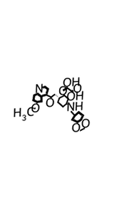 COc1ccc2nccc(C(=O)C[C@H]3CC[C@H](NCc4ccc5c(c4)OCCO5)CC3)c2c1.O=C(O)C(=O)O